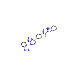 Nc1cccc(Nc2nccc(-c3ccc(NC(=O)[C@@H](N)Cc4ccccc4)cc3)n2)c1